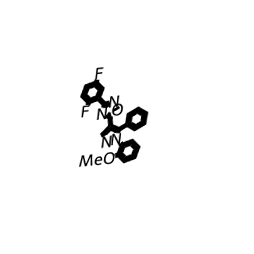 COc1ccccc1-n1ncc(-c2nc(-c3cc(F)ccc3F)no2)c1-c1ccccc1